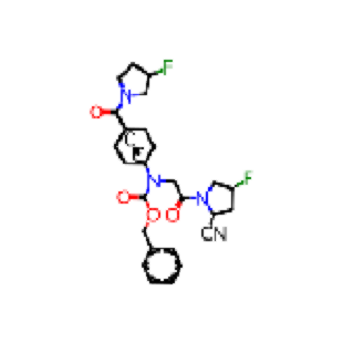 N#C[C@@H]1C[C@H](F)CN1C(=O)CN(C(=O)OCc1ccccc1)C12CCC(C(=O)N3CCC(F)C3)(CC1)CC2